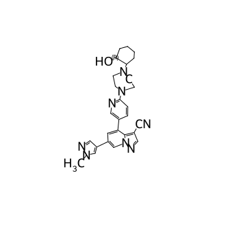 Cn1cc(-c2cc(-c3ccc(N4CCN(C5CCCC[C@H]5O)CC4)nc3)c3c(C#N)cnn3c2)cn1